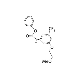 COCCOc1cc(NC(=O)Oc2ccccc2)cc(C(F)(F)F)c1